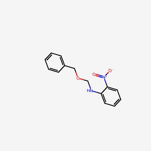 O=[N+]([O-])c1ccccc1NCOCc1ccccc1